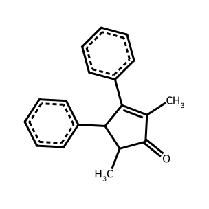 CC1=C(c2ccccc2)C(c2ccccc2)C(C)C1=O